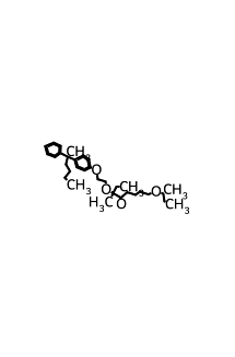 CCCCC(C)(c1ccccc1)c1ccc(OCCOC(C)(CC)C(=O)CCCCOC(C)CC)cc1